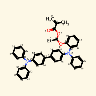 C=C(C)C(=O)OC(CC)Oc1ccccc1N(c1ccccc1)c1ccc(-c2ccc(N(c3ccccc3)c3ccccc3)cc2)cc1